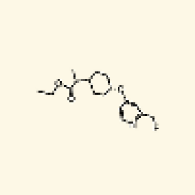 CCOC(=O)C(C)[C@H]1CC[C@H](Oc2ccnc(CF)c2)CC1